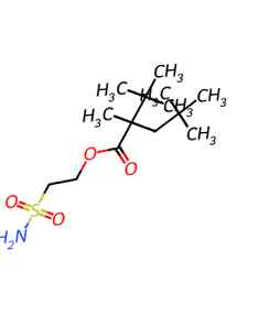 CC(C)(C)CC(C)(C(=O)OCCS(N)(=O)=O)C(C)(C)C